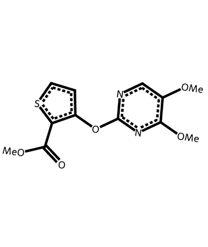 COC(=O)c1sccc1Oc1ncc(OC)c(OC)n1